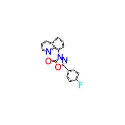 O=c1oc(-c2ccc(F)cc2)nn1-c1cccc2cccnc12